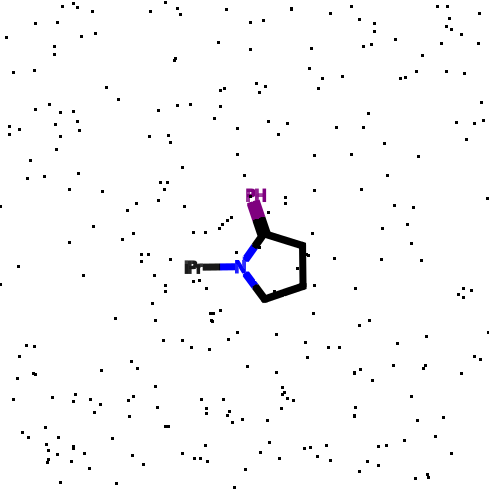 CC(C)N1CCCC1=P